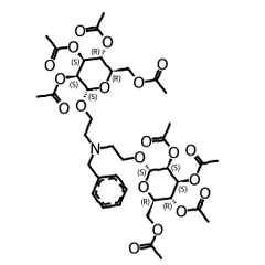 CC(=O)OC[C@H]1O[C@H](OCCN(CCO[C@H]2O[C@H](COC(C)=O)[C@@H](OC(C)=O)[C@H](OC(C)=O)[C@@H]2OC(C)=O)Cc2ccccc2)[C@@H](OC(C)=O)[C@@H](OC(C)=O)[C@@H]1OC(C)=O